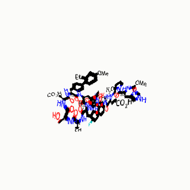 C#C[C@H](NC(=O)C(C)(Cc1ccccc1F)NC(=O)[C@H](/C=C\O)NC(=O)CNC(=O)[C@H](CCC(=O)O)NC(=O)C1(C)CCCN1C(=O)[C@H](Cc1c[nH]cn1)NC(=O)OC)C(=O)N[C@@H](CO)C(=O)N[C@@H](CC(=O)O)C(=O)N[C@@H](Cc1ccc(-c2ccc(OC)cc2CC)cc1)C(=O)N[C@@H](Cc1ccc(-c2ccccc2C)nc1)C(N)=O